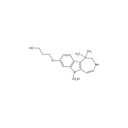 CCOC(=O)n1c2c(c3ccc(OCCCO)cc31)C(C)(C)CNC=C2